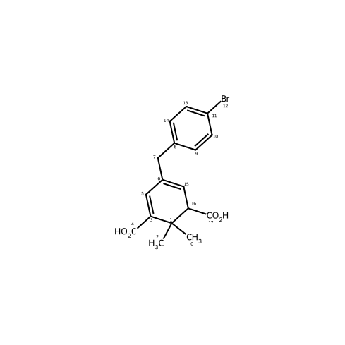 CC1(C)C(C(=O)O)=CC(Cc2ccc(Br)cc2)=CC1C(=O)O